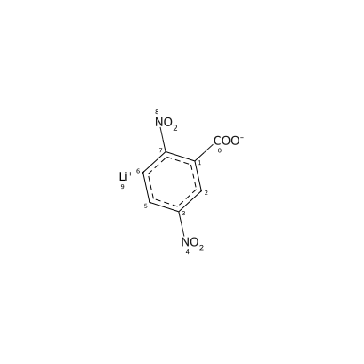 O=C([O-])c1cc([N+](=O)[O-])ccc1[N+](=O)[O-].[Li+]